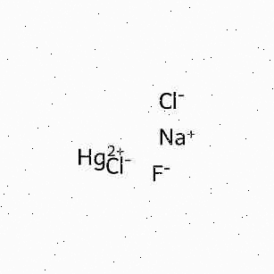 [Cl-].[Cl-].[F-].[Hg+2].[Na+]